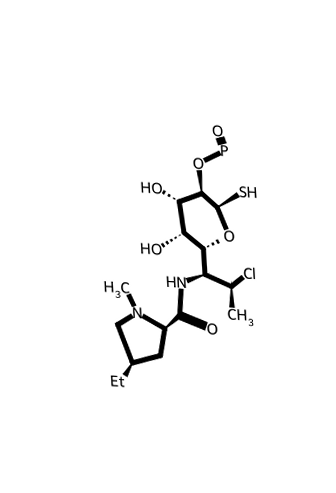 CC[C@@H]1C[C@H](C(=O)N[C@@H]([C@H]2O[C@H](S)[C@H](OP=O)[C@@H](O)[C@H]2O)[C@H](C)Cl)N(C)C1